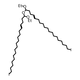 CCOC(CCC=CCCCCCCCCCCCCCCI)OC(CCC=CCCCCCCCCCCCCCCI)OCC